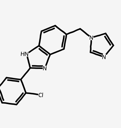 Clc1ccccc1-c1nc2cc(Cn3ccnc3)ccc2[nH]1